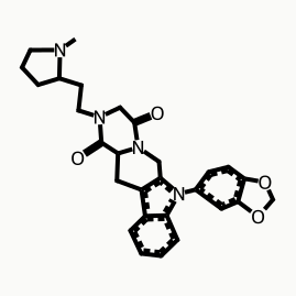 CN1CCCC1CCN1CC(=O)N2Cc3c(c4ccccc4n3-c3ccc4c(c3)OCO4)CC2C1=O